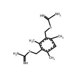 Cc1cc(C)c(CSC(=N)N)c(C)c1CSC(=N)N